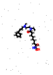 CCN(CCN(C)C/C=C/c1ccccc1)C(=O)CCCCCCC(=O)NO